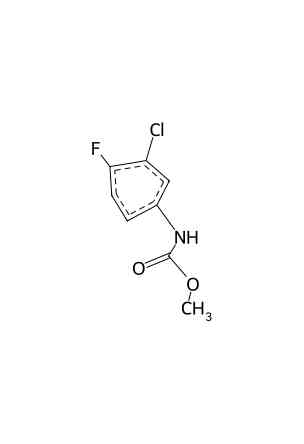 COC(=O)Nc1ccc(F)c(Cl)c1